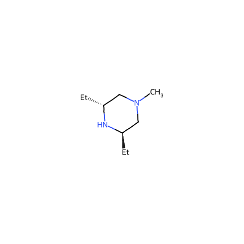 CC[C@@H]1CN(C)C[C@@H](CC)N1